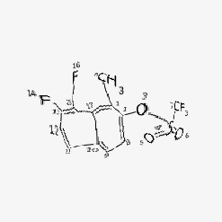 Cc1c(OS(=O)(=O)C(F)(F)F)ccc2ccc(F)c(F)c12